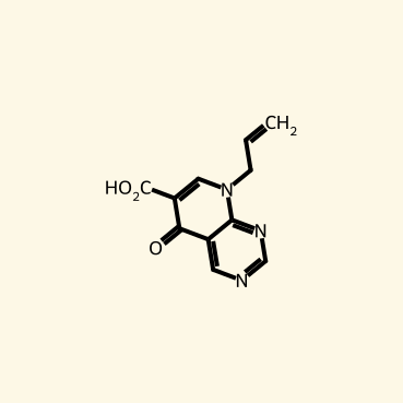 C=CCn1cc(C(=O)O)c(=O)c2cncnc21